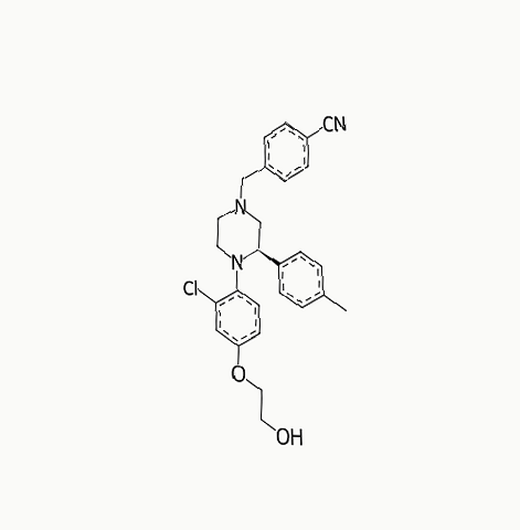 Cc1ccc([C@@H]2CN(Cc3ccc(C#N)cc3)CCN2c2ccc(OCCO)cc2Cl)cc1